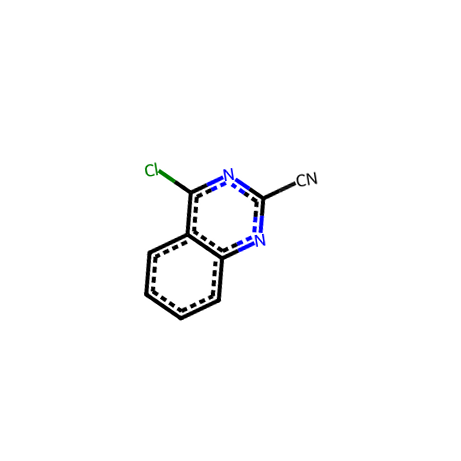 N#Cc1nc(Cl)c2ccccc2n1